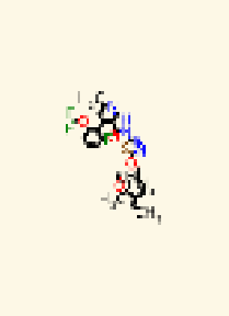 C/C=C(\C=C/CCOc1nnc(NC(=O)c2cnc(C)cc2-c2c(F)cccc2OC(F)F)s1)C(C)(C)OC